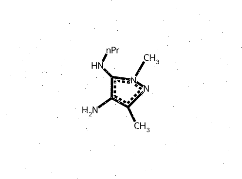 [CH2]CCNc1c(N)c(C)nn1C